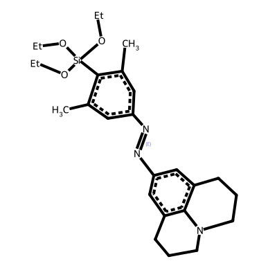 CCO[Si](OCC)(OCC)c1c(C)cc(/N=N/c2cc3c4c(c2)CCCN4CCC3)cc1C